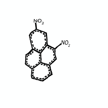 O=[N+]([O-])c1cc2ccc3cccc4cc([N+](=O)[O-])c(c1)c2c34